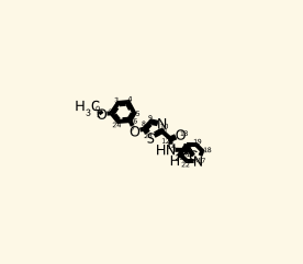 COc1cccc(Oc2cnc(C(=O)N[C@H]3CN4CCC3CC4)s2)c1